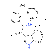 C=C(c1c[nH]c2ccccc12)C(Nc1cccc(SC)c1)c1ccccc1